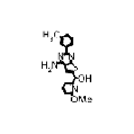 COc1cccc(C(O)c2cc3c(N)nc(-c4cccc(C)c4)nc3s2)n1